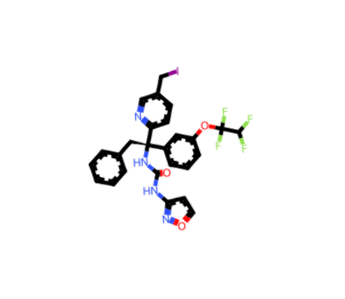 O=C(Nc1ccon1)N[C@@](Cc1ccccc1)(c1cccc(OC(F)(F)C(F)F)c1)c1ccc(CI)cn1